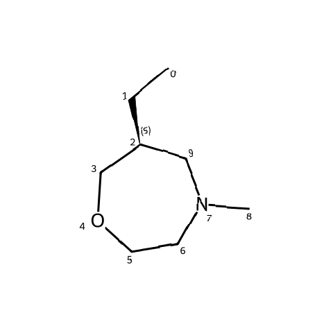 CC[C@@H]1COCCN(C)C1